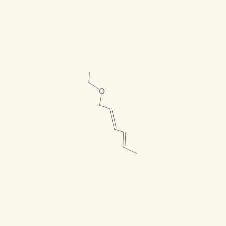 CC=CC=C[CH]OCC